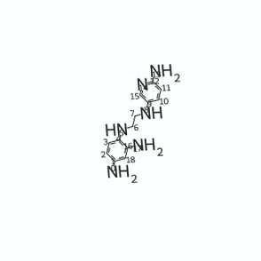 Nc1ccc(NCCNc2ccc(N)nc2)c(N)c1